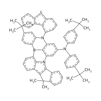 CC(C)(C)c1ccc(N(c2ccc(C(C)(C)C)cc2)c2cc3c4c(c2)-n2c5c(c6cccc(c62)B4c2ccc(C(C)(C)C)cc2N3c2cccc3sc4ccccc4c23)C(C)(C)c2ccccc2-5)cc1